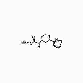 CCCCOC(=O)N[C@H]1CCCN(c2cccnn2)C1